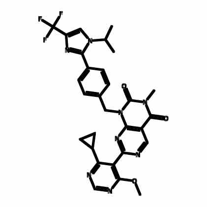 COc1ncnc(C2CC2)c1-c1ncc2c(=O)n(C)c(=O)n(Cc3ccc(-c4nc(C(F)(F)F)cn4C(C)C)cc3)c2n1